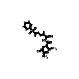 N=C(NCCNS(=O)(=O)c1ccccc1)NC(=O)c1nc(Cl)c(N)nc1N